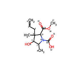 C=CCC1(C)C(O)C(C)N(C(=O)O)C1C(=O)OC